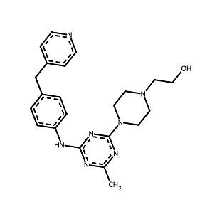 Cc1nc(Nc2ccc(Cc3ccncc3)cc2)nc(N2CCN(CCO)CC2)n1